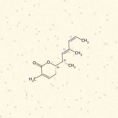 C/C=C\C(C)=C\[C@H](C)[C@@H]1CC=C(C)C(=O)O1